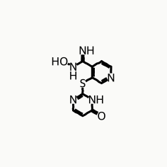 N=C(NO)c1ccncc1Sc1nccc(=O)[nH]1